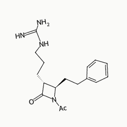 CC(=O)N1C(=O)[C@H](CCCNC(=N)N)[C@H]1CCc1ccccc1